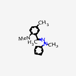 CNc1ccc(C)cc1/C(C)=N/N(C)c1ccccc1